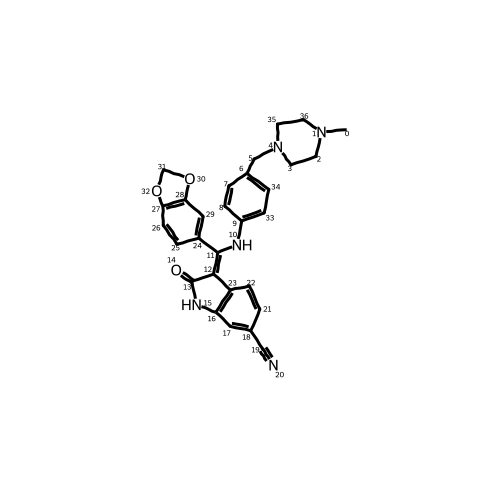 CN1CCN(Cc2ccc(NC(=C3C(=O)Nc4cc(C#N)ccc43)c3ccc4c(c3)OCO4)cc2)CC1